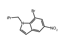 CC(C)Cn1ccc2cc([N+](=O)[O-])cc(Br)c21